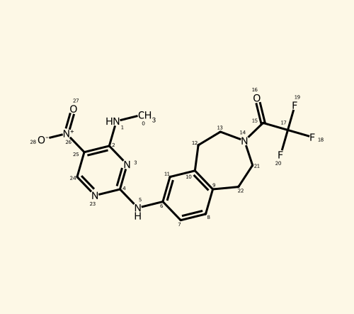 CNc1nc(Nc2ccc3c(c2)CCN(C(=O)C(F)(F)F)CC3)ncc1[N+](=O)[O-]